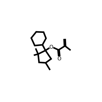 C=C(C)C(=O)OC1(C2CCCCC2)CC(C)CC1(C)C